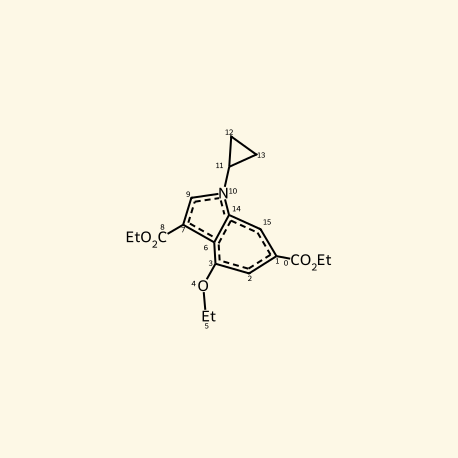 CCOC(=O)c1cc(OCC)c2c(C(=O)OCC)cn(C3CC3)c2c1